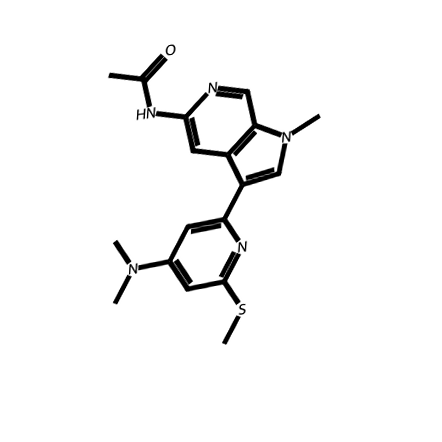 CSc1cc(N(C)C)cc(-c2cn(C)c3cnc(NC(C)=O)cc23)n1